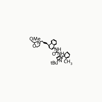 COCC1CN(CC#Cc2ccc(NC(=O)Nc3cc(C(C)(C)C)nn3-c3ccccc3C)c3ccccc23)CCO1